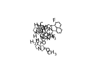 C#Cc1c(F)ccc2cccc(-c3nc4c5c(nc(OCC67C[C@H](OC)CN6CCC7=C)nc5c3F)N3C[C@H]5CC[C@@H]([C@H]3[C@H](C)O4)N5C(=O)OC(C)(C)C)c12